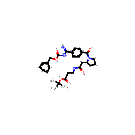 CC(C)(C)OC(=O)CCNC(=O)C[C@@H]1CCCN1C(=O)c1ccc(C(=N)NC(=O)OCc2ccccc2)cc1